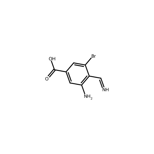 N=Cc1c(N)cc(C(=O)O)cc1Br